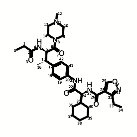 CCC(=O)N[C@@H](C(=O)N1CCN(C)CC1)[C@@H](C)c1ccc(NC(=O)[C@@H](NC(=O)c2conc2CC)C2CCCCC2)cc1